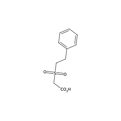 O=C(O)CS(=O)(=O)CCc1ccccc1